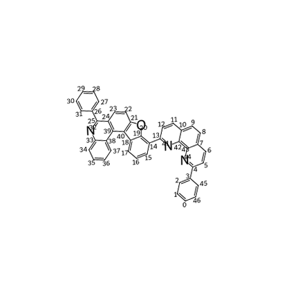 c1ccc(-c2ccc3ccc4ccc(-c5cccc6c5oc5ccc7c(-c8ccccc8)nc8ccccc8c7c56)nc4c3n2)cc1